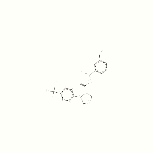 COc1cccc([C@H](C)NC(=O)[C@@H]2CNC[C@H]2c2ccc(C(F)(F)F)cc2)c1